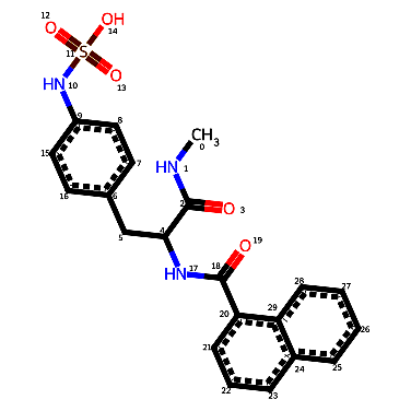 CNC(=O)C(Cc1ccc(NS(=O)(=O)O)cc1)NC(=O)c1cccc2ccccc12